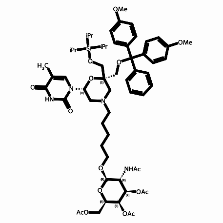 COc1ccc(C(OC[C@]2(CO[Si](C(C)C)(C(C)C)C(C)C)CN(CCCCCO[C@@H]3O[C@H](COC(C)=O)[C@H](OC(C)=O)[C@H](OC(C)=O)[C@H]3NC(C)=O)C[C@H](n3cc(C)c(=O)[nH]c3=O)O2)(c2ccccc2)c2ccc(OC)cc2)cc1